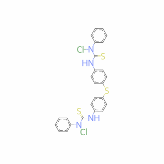 S=C(Nc1ccc(Sc2ccc(NC(=S)N(Cl)c3ccccc3)cc2)cc1)N(Cl)c1ccccc1